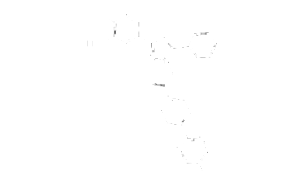 Cc1cnc(C2=CCN(C(=O)Cn3nc(-c4ccc(F)c(C)c4)cc3-c3ccccc3)CC2)nc1